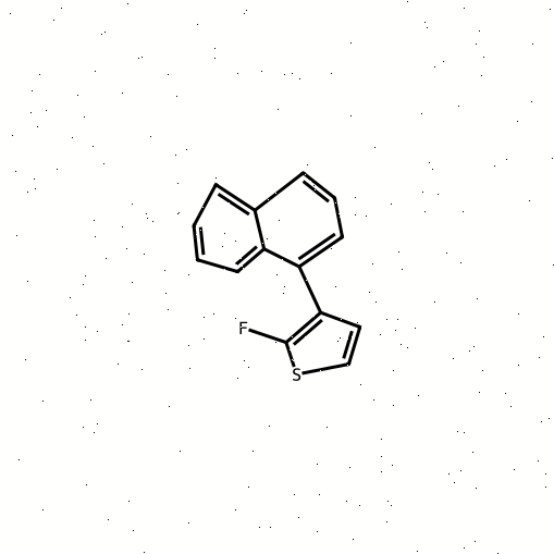 Fc1sccc1-c1cccc2ccccc12